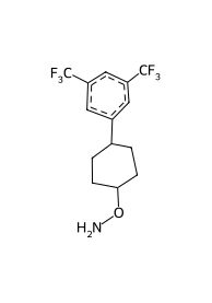 NOC1CCC(c2cc(C(F)(F)F)cc(C(F)(F)F)c2)CC1